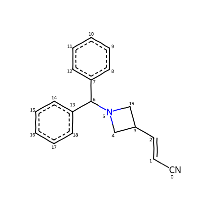 N#CC=CC1CN(C(c2ccccc2)c2ccccc2)C1